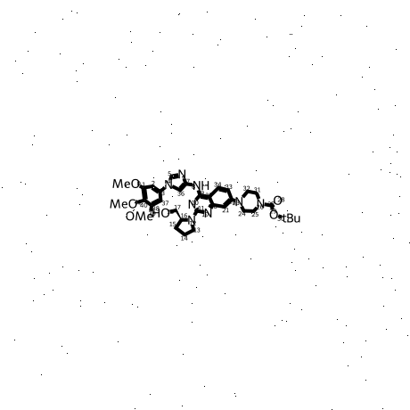 COc1cc(-n2cnc(Nc3nc(N4CCC[C@H]4CO)nc4cc(N5CCN(C(=O)OC(C)(C)C)CC5)ccc34)c2)cc(OC)c1OC